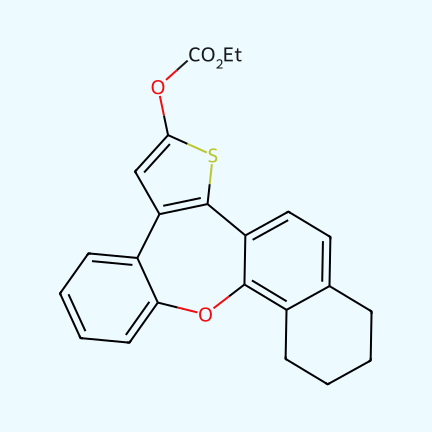 CCOC(=O)Oc1cc2c(s1)-c1ccc3c(c1Oc1ccccc1-2)CCCC3